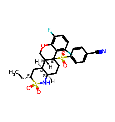 CC[C@@H]1C[C@@H]2[C@@H](CC[C@@]3(S(=O)(=O)c4ccc(C#N)cc4)c4c(F)ccc(F)c4OC[C@@H]23)NS1(=O)=O